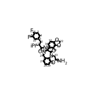 CC(C)[C@@H](Cc1ccc(F)c(F)c1)C(=O)NC1(c2ccc3c(c2)OCO3)N=Cc2ccccc2N(CC(N)=O)C1=O